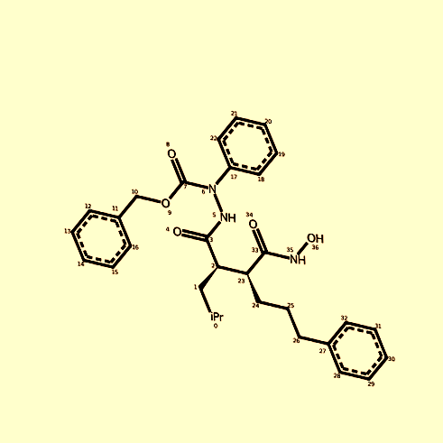 CC(C)C[C@@H](C(=O)NN(C(=O)OCc1ccccc1)c1ccccc1)[C@H](CCCc1ccccc1)C(=O)NO